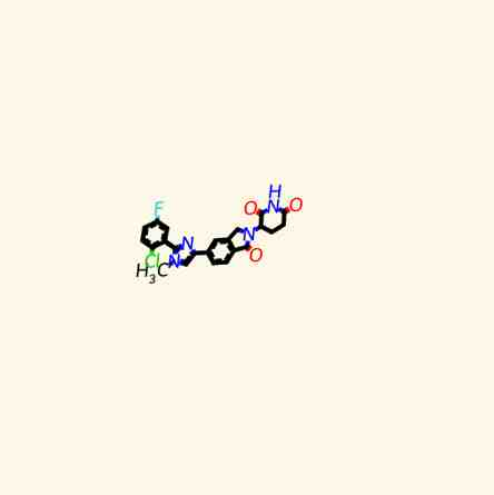 Cn1cc(-c2ccc3c(c2)CN(C2CCC(=O)NC2=O)C3=O)nc1-c1cc(F)ccc1Cl